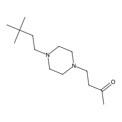 CC(=O)CCN1CCN(CCC(C)(C)C)CC1